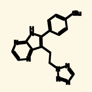 CC(C)(C)c1ccc(-c2[nH]c3nccnc3c2CCn2ncnn2)cc1